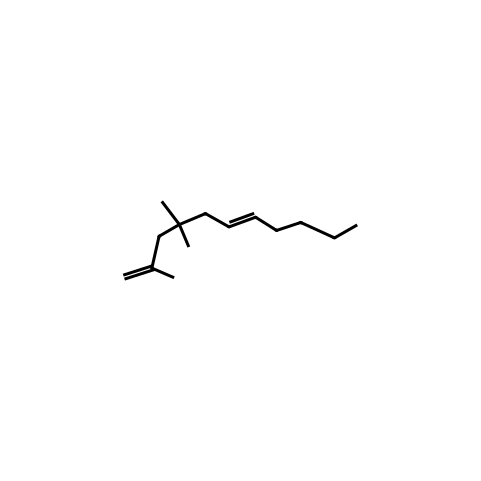 C=C(C)CC(C)(C)CC=CCCCC